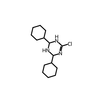 ClC1=NC(C2CCCCC2)NC(C2CCCCC2)N1